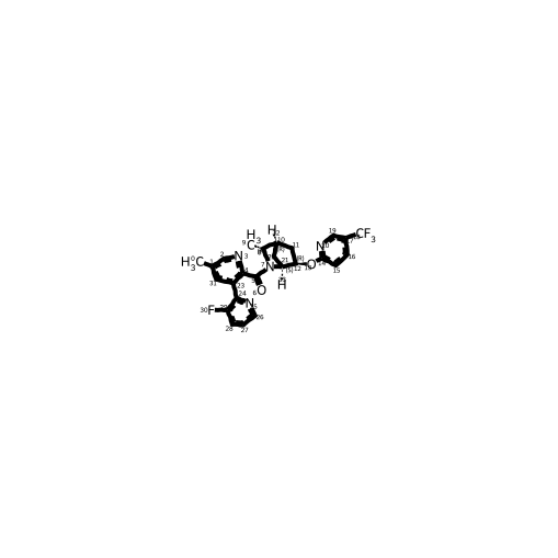 Cc1cnc(C(=O)N2[C@H](C)[C@H]3C[C@@H](Oc4ccc(C(F)(F)F)cn4)[C@@H]2C3)c(-c2ncccc2F)c1